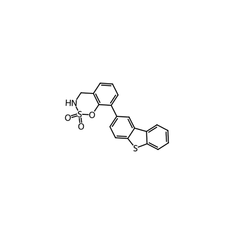 O=S1(=O)NCc2cccc(-c3ccc4sc5ccccc5c4c3)c2O1